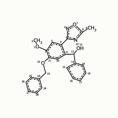 COc1cc(-c2noc(C)n2)c(C(O)c2ccccc2)cc1OCc1ccccc1